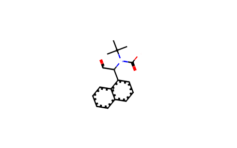 CC(C)(C)N(C(=O)O)C([C]=O)c1cccc2ccccc12